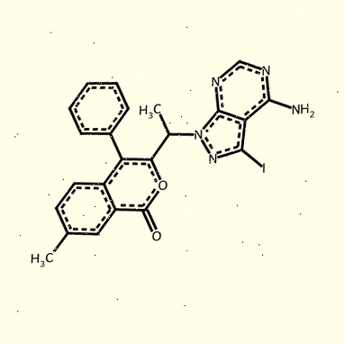 Cc1ccc2c(-c3ccccc3)c(C(C)n3nc(I)c4c(N)ncnc43)oc(=O)c2c1